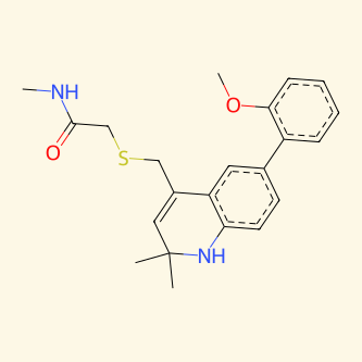 CNC(=O)CSCC1=CC(C)(C)Nc2ccc(-c3ccccc3OC)cc21